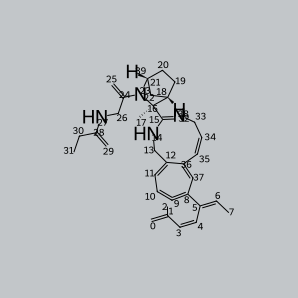 C=C(C)/C=C\C(=C/C)C1=C=CC=C2CN/C([C@]3(C)[C@H]4CC[C@H](C4)N3C(=C)CNC(=C)CC)=N\C/C=C\C2=C1